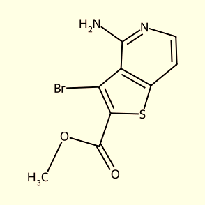 COC(=O)c1sc2ccnc(N)c2c1Br